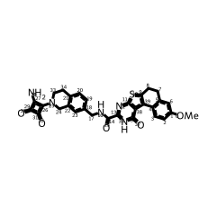 COc1ccc2c(c1)CCc1sc3nc(C(=O)NCc4ccc5c(c4)CN(c4c(N)c(=O)c4=O)CC5)[nH]c(=O)c3c1-2